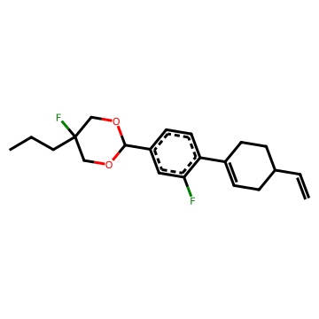 C=CC1CC=C(c2ccc(C3OCC(F)(CCC)CO3)cc2F)CC1